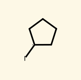 I[C]1CCCC1